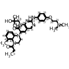 C=CC(=O)N1CCN(c2cc3cnc(Nc4ccc(OCCN(C)C)cc4)nc3n(CC(C)(C)O)c2=O)c2cccc(C)c21